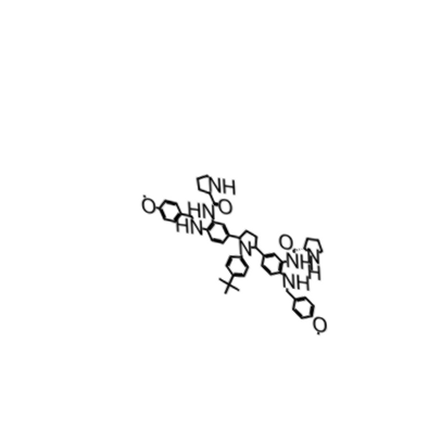 COc1ccc(CNc2ccc(C3CCC(c4ccc(NCc5ccc(OC)cc5)c(NC(=O)[C@@H]5CCCN5)c4)N3c3ccc(C(C)(C)C)cc3)cc2NC(=O)C2CCCN2)cc1